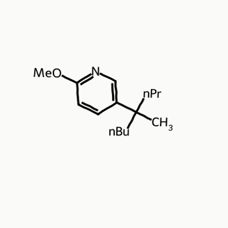 CCCCC(C)(CCC)c1ccc(OC)nc1